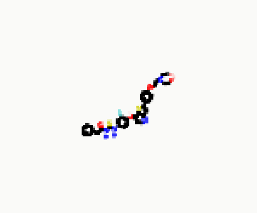 O=C(Cc1ccccc1)NC(=S)Nc1ccc(Oc2ccnc3cc(-c4ccc(OCCN5CCOCC5)cc4)sc23)c(F)c1